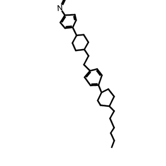 CCCCCCC1CCC(c2ccc(CCC3CCC(c4ccc(N=C=S)cc4)CC3)cc2)CC1